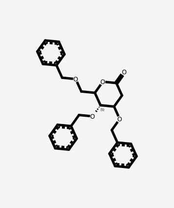 O=C1CC(OCc2ccccc2)[C@H](OCc2ccccc2)C(COCc2ccccc2)O1